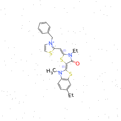 CCc1ccc2c(c1)S/C(=c1/s/c(=C\c3scc[n+]3Cc3ccccc3)n(CC)c1=O)N2C